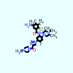 Cc1c(N)cc(C(=O)Nc2cc(-n3cc(C(=O)N4CCN(C)CC4)nn3)c(F)cc2N2C[C@@H](C)N(C)[C@@H](C)C2)c(Cl)c1C